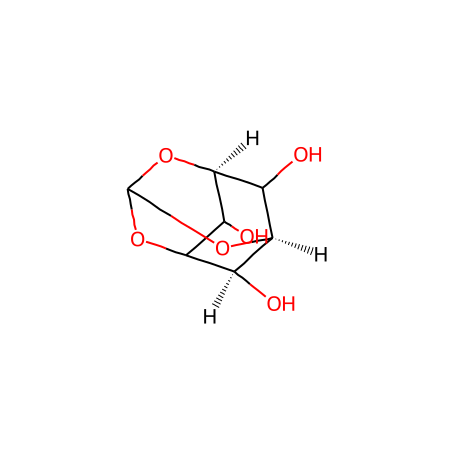 OC1C2OC3O[C@H]1C(O)[C@H](O3)[C@H]2O